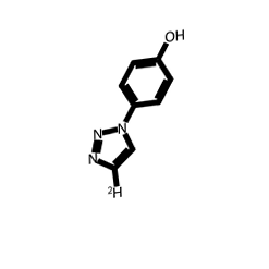 [2H]c1cn(-c2ccc(O)cc2)nn1